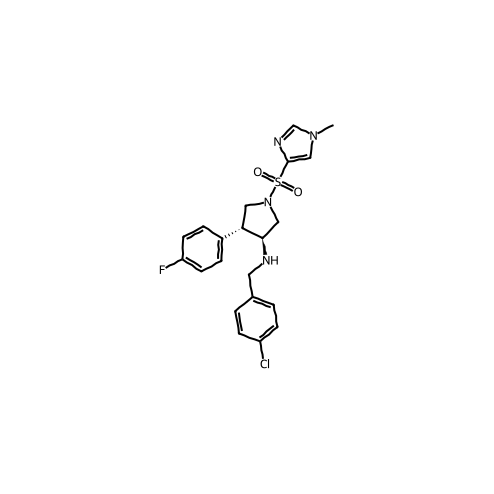 Cn1cnc(S(=O)(=O)N2C[C@@H](NCc3ccc(Cl)cc3)[C@H](c3ccc(F)cc3)C2)c1